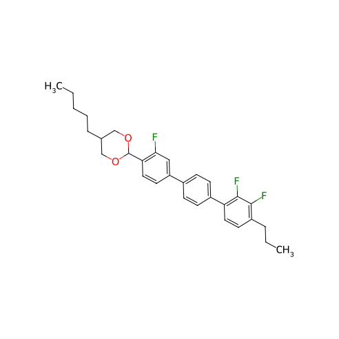 CCCCCC1COC(c2ccc(-c3ccc(-c4ccc(CCC)c(F)c4F)cc3)cc2F)OC1